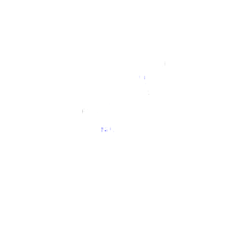 CCN/C=C\C=C(/N)CC